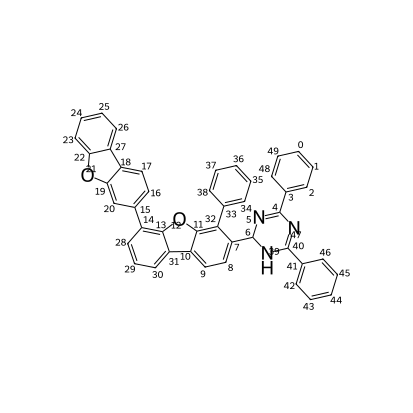 c1ccc(C2=NC(c3ccc4c(oc5c(-c6ccc7c(c6)oc6ccccc67)cccc54)c3-c3ccccc3)NC(c3ccccc3)=N2)cc1